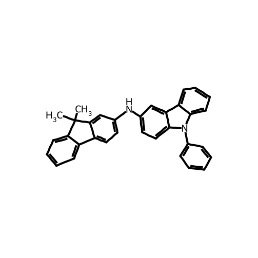 CC1(C)c2ccccc2-c2ccc(Nc3ccc4c(c3)c3ccccc3n4-c3ccccc3)cc21